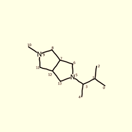 CC(C)C(C)N1CC2CN(C)CC2C1